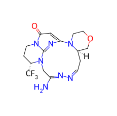 N/C1=N\N=C/C[C@@H]2COCCN2c2cc(=O)n3c(n2)N(C1)[C@H](C(F)(F)F)CC3